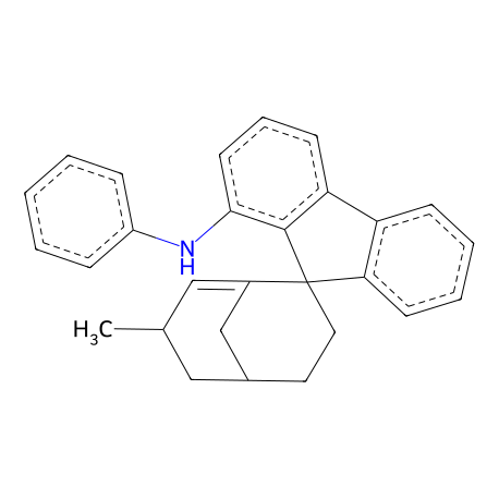 CC1C=C2CC(CCC23c2ccccc2-c2cccc(Nc4ccccc4)c23)C1